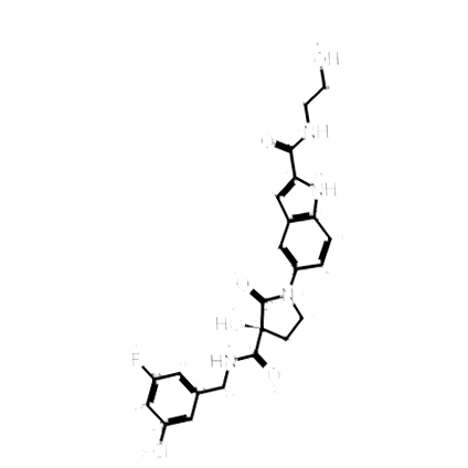 O=C(NCCO)c1cc2cc(N3CC[C@](O)(C(=O)NCc4cc(F)cc(Cl)c4)C3=O)ccc2[nH]1